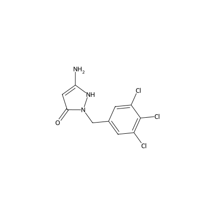 Nc1cc(=O)n(Cc2cc(Cl)c(Cl)c(Cl)c2)[nH]1